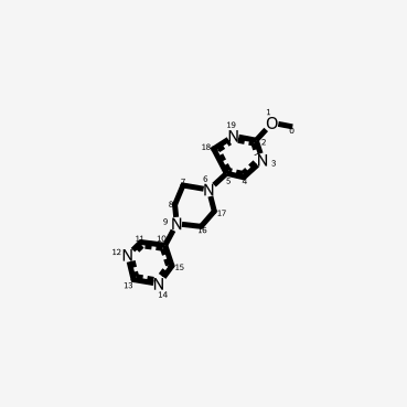 COc1ncc(N2CCN(c3cncnc3)CC2)cn1